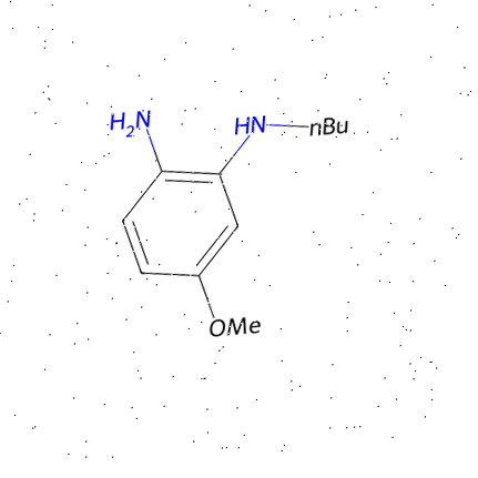 CCCCNc1cc(OC)ccc1N